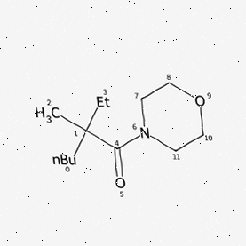 CCCCC(C)(CC)C(=O)N1CCOCC1